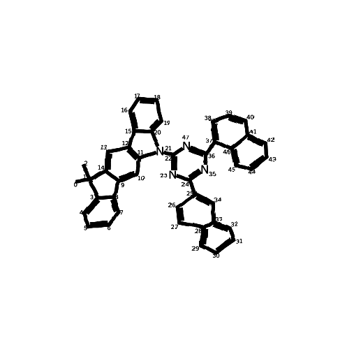 CC1(C)c2ccccc2-c2cc3c(cc21)c1ccccc1n3-c1nc(-c2ccc3ccccc3c2)nc(-c2cccc3ccccc23)n1